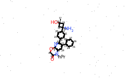 CCCN1C(=O)COc2nc(-c3ccc([C@]4(N)C[C@](C)(O)C4)cc3)c(-c3ccccc3)cc21